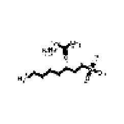 CC(=O)[O-].CCCCCCCCS(=O)(=O)[O-].[Na+].[Na+]